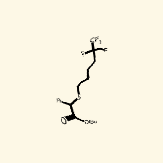 CC(C)COC(=O)C(SCCCCC(F)(F)C(F)(F)F)C(C)C